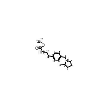 CC1CCCN1Cc1ccc(CCNC(=O)OC(C)(C)C)cc1